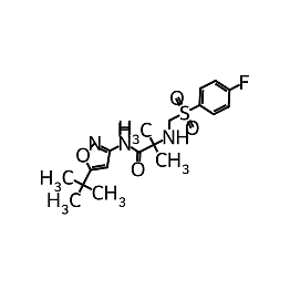 CC(C)(NCS(=O)(=O)c1ccc(F)cc1)C(=O)Nc1cc(C(C)(C)C)on1